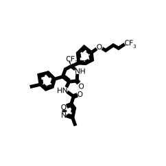 Cc1ccc(C2=C(NC(=O)c3cc(C)no3)C(=O)N[C@@](c3ccc(OCCCC(F)(F)F)cc3)(C(F)(F)F)C2)cc1